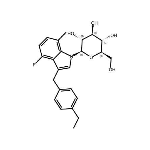 CCc1ccc(Cc2cn([C@@H]3O[C@H](CO)[C@@H](O)[C@H](O)[C@H]3O)c3c(C)ccc(F)c23)cc1